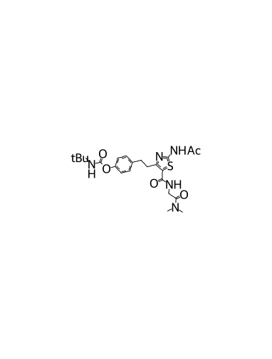 CC(=O)Nc1nc(CCc2ccc(OC(=O)NC(C)(C)C)cc2)c(C(=O)NCC(=O)N(C)C)s1